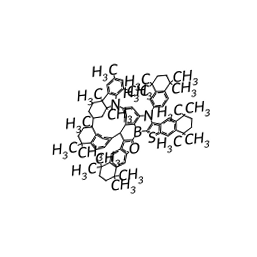 Cc1cc(C)c2c(c1)C1(C)CCC3CC1(C)N2c1cc2c4c(c1)N(c1ccc5c(c1)C(C)(C)CCC5(C)C)c1c(sc5cc6c(cc15)C(C)(C)CCC6(C)C)B4c1oc4cc5c(cc4c1C2c1ccc2c(c1)C3(C)CCC2(C)C)C(C)(C)CCC5(C)C